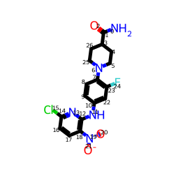 NC(=O)C1CCN(c2ccc(Nc3nc(Cl)ccc3[N+](=O)[O-])cc2F)CC1